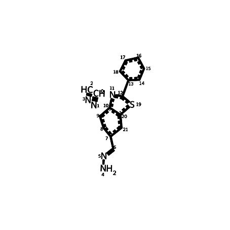 C#N.C#N.NN=Cc1ccc2nc(-c3ccccc3)sc2c1